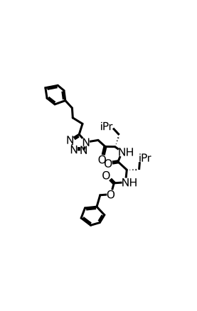 CC(C)C[C@H](NC(=O)[C@H](CC(C)C)NC(=O)OCc1ccccc1)C(=O)Cn1nnnc1CCCc1ccccc1